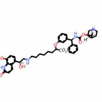 O=C(NC(c1ccccc1)c1cccc(OC(CCCCCCNC[C@@H](O)c2ccc(O)c3[nH]c(=O)ccc23)C(=O)O)c1)O[C@H]1CN2CCC1CC2